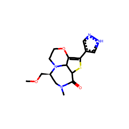 COC[C@@H]1CN(C)C(=O)C2SC(c3cn[nH]c3)=C3OCCN1C32